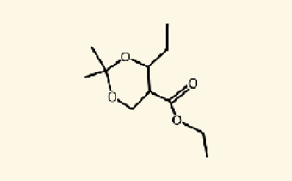 CCOC(=O)C1COC(C)(C)OC1CC